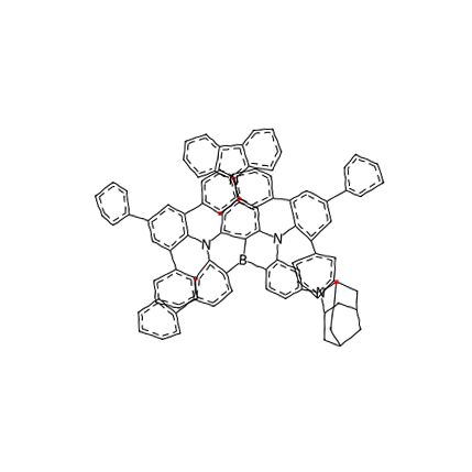 c1ccc(-c2cc(-c3ccccc3)c(N3c4cc(-c5ccccc5)ccc4B4c5ccc(N6C7CC8CC(C7)CC6C8)cc5N(c5c(-c6ccccc6)cc(-c6ccccc6)cc5-c5ccccc5)c5cc(-n6c7ccccc7c7ccccc76)cc3c54)c(-c3ccccc3)c2)cc1